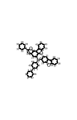 c1ccc(-c2ccc(N(c3ccc4c(c3)oc3ccccc34)c3cc4nc(-c5ccccc5)oc4c4c3oc3ccccc34)cc2)cc1